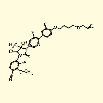 COc1c(C#N)ccc(N2C(=O)C(C)(C)N(c3cnc(-c4ccc(OCCCCOCC=O)c(F)c4)c(F)c3)C2=S)c1F